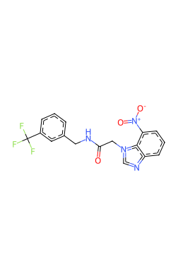 O=C(Cn1cnc2cccc([N+](=O)[O-])c21)NCc1cccc(C(F)(F)F)c1